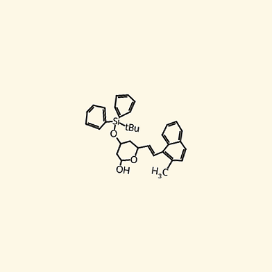 Cc1ccc2ccccc2c1C=CC1CC(O[Si](c2ccccc2)(c2ccccc2)C(C)(C)C)CC(O)O1